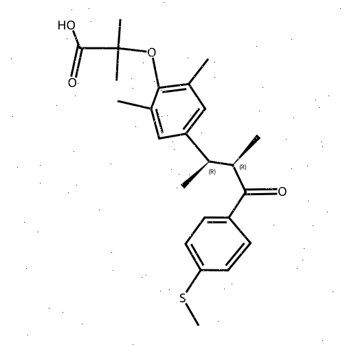 CSc1ccc(C(=O)[C@H](C)[C@@H](C)c2cc(C)c(OC(C)(C)C(=O)O)c(C)c2)cc1